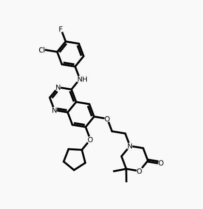 CC1(C)CN(CCOc2cc3c(Nc4ccc(F)c(Cl)c4)ncnc3cc2OC2CCCC2)CC(=O)O1